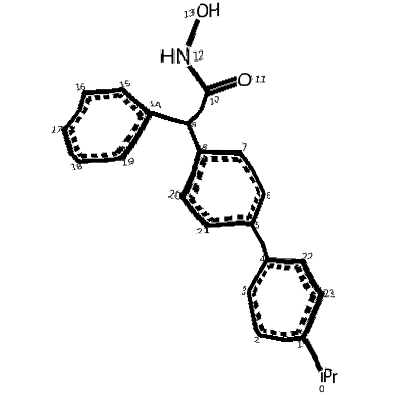 CC(C)c1ccc(-c2ccc(C(C(=O)NO)c3ccccc3)cc2)cc1